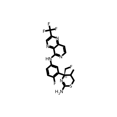 CC1CSC(N)=N[C@]1(CF)c1cc(Nc2nccc3nc(C(F)(F)F)cnc23)ccc1F